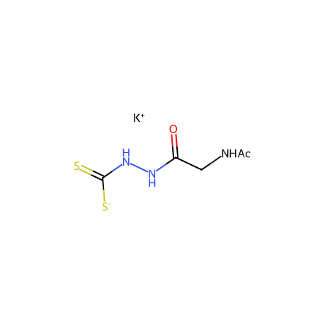 CC(=O)NCC(=O)NNC(=S)[S-].[K+]